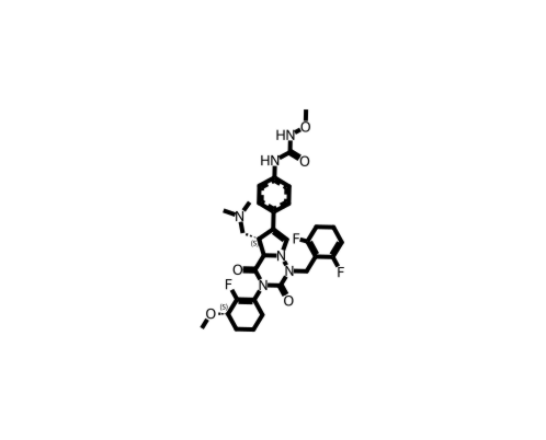 CONC(=O)Nc1ccc(C2=CN3C(C(=O)N(C4=C(F)[C@@H](OC)CCC4)C(=O)N3CC3=C(F)CCC=C3F)[C@@H]2CN(C)C)cc1